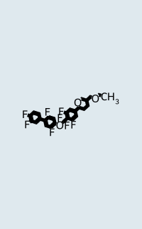 CCOCC1CCC(c2cc(F)c(C(F)(F)Oc3cc(F)c(-c4ccc(F)c(F)c4)cc3F)c(F)c2)OC1